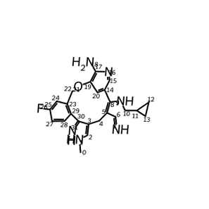 CN/C=C1/C/C(C=N)=C(/NCC2CC2)c2cnc(N)c(c2)OCc2cc(F)ccc2C1=N